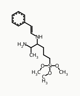 CO[Si](CCCC(NC=Cc1ccccc1)C(C)N)(OC)OC